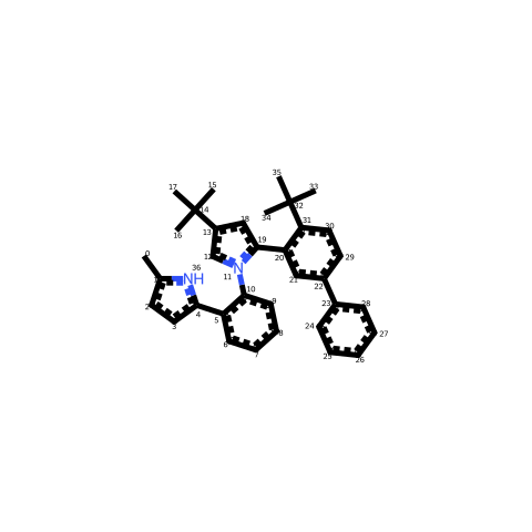 Cc1ccc(-c2ccccc2-n2cc(C(C)(C)C)cc2-c2cc(-c3ccccc3)ccc2C(C)(C)C)[nH]1